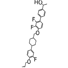 C=CCOc1ccc(C2CCC(COc3ccc(-c4ccc(C(C)O)cc4)c(F)c3F)CC2)cc1F